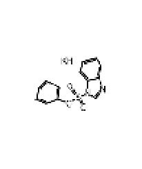 O=S(=O)(Oc1ccccc1)n1cnc2ccccc21.[KH]